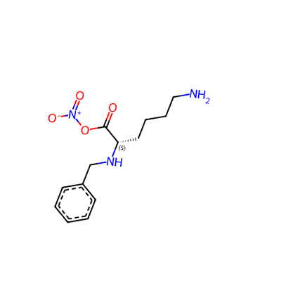 NCCCC[C@H](NCc1ccccc1)C(=O)O[N+](=O)[O-]